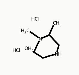 CC1CNCCN1C.Cl.Cl.O